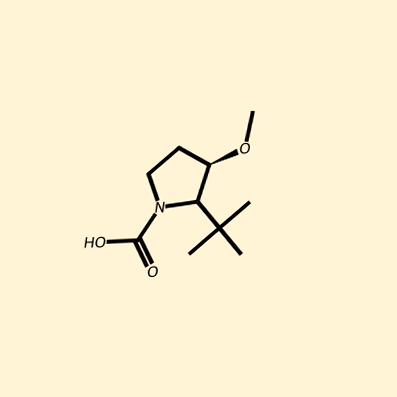 CO[C@@H]1CCN(C(=O)O)C1C(C)(C)C